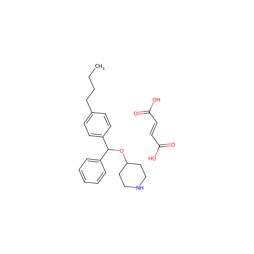 CCCCc1ccc(C(OC2CCNCC2)c2ccccc2)cc1.O=C(O)/C=C/C(=O)O